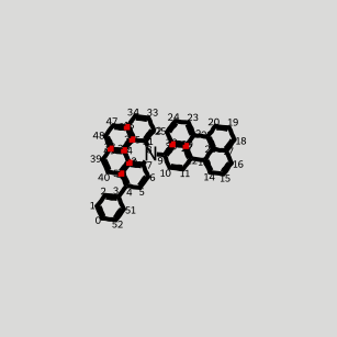 c1ccc(-c2ccc(N(c3ccc(-c4cccc5cccc(-c6ccccc6)c45)cc3)c3ccccc3-c3ccccc3)c(-c3ccccc3)c2)cc1